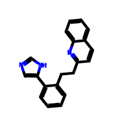 c1ccc(-c2cnc[nH]2)c(CCc2ccc3ccccc3n2)c1